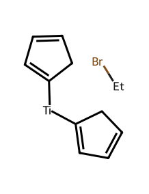 C1=CC[C]([Ti][C]2=CC=CC2)=C1.CCBr